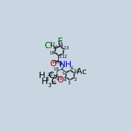 CC(=O)c1ccc2c(c1)[C@@H](NC(=O)c1ccc(F)c(Cl)c1)CC(C)(C)O2